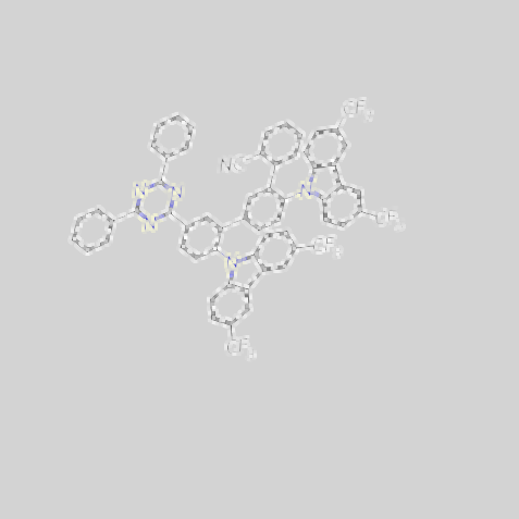 N#Cc1ccccc1-c1cc(-c2cc(-c3nc(-c4ccccc4)nc(-c4ccccc4)n3)ccc2-n2c3ccc(C(F)(F)F)cc3c3cc(C(F)(F)F)ccc32)ccc1-n1c2ccc(C(F)(F)F)cc2c2cc(C(F)(F)F)ccc21